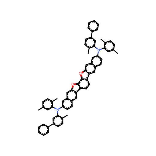 Cc1ccc(C)c(N(c2ccc3cc4c(cc3c2)oc2c4ccc3c4cc5ccc(N(c6cc(C)ccc6C)c6cc(-c7ccccc7)ccc6C)cc5cc4oc32)c2cc(-c3ccccc3)ccc2C)c1